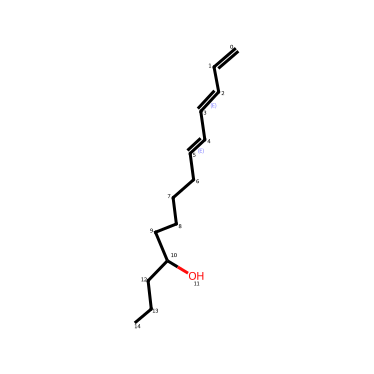 C=C/C=C/C=C/CCCCC(O)CCC